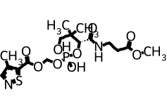 COC(=O)CCNC(=O)[C@@H]1O[PH](O)(OCOC(=O)c2sncc2C)OCC1(C)C